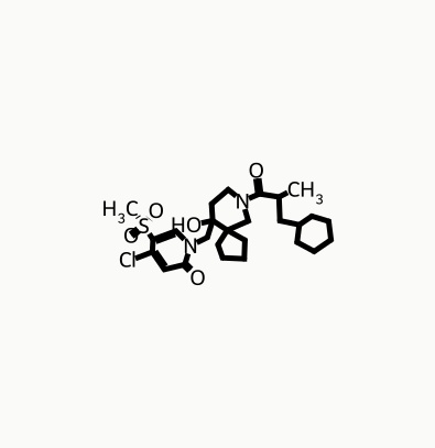 CC(CC1CCCCC1)C(=O)N1CCC(O)(Cn2cc(S(C)(=O)=O)c(Cl)cc2=O)C2(CCCC2)C1